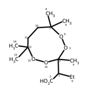 CCC(C(=O)O)C1(C)OOC(C)(C)CCC(C)(C)OO1